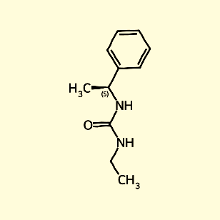 CCNC(=O)N[C@@H](C)c1ccccc1